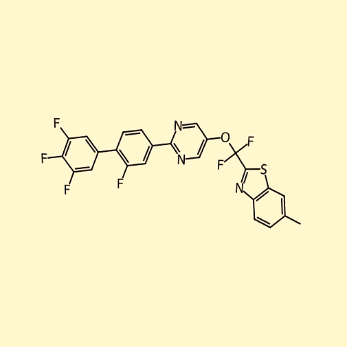 Cc1ccc2nc(C(F)(F)Oc3cnc(-c4ccc(-c5cc(F)c(F)c(F)c5)c(F)c4)nc3)sc2c1